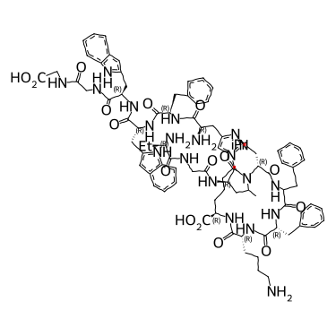 CC[C@@H](N)C(=O)NCC(=O)N[C@@H]1CC(C)N([C@H](CC(C)C)C(=O)NC(Cc2ccccc2)C(=O)N[C@H](Cc2ccccc2)C(=O)N[C@H](CCCCN)C(=O)N[C@H](CCCCn2cc(C[C@@H](N)C(=O)N[C@H](Cc3ccccc3)C(=O)N[C@H](Cc3cc4ccccc4[nH]3)C(=O)N[C@H](Cc3cc4ccccc4[nH]3)C(=O)NCC(=O)NCC(=O)O)nn2)C(=O)O)C1=O